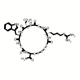 NC(=O)C1CSSCCC(=O)N[C@@H](CCCCN=C(N)N)C(=O)NCC(=O)N[C@@H](CC(=O)O)C(=O)N[C@H](Cc2c[nH]c3ccccc23)C(=O)NCC(=O)N1